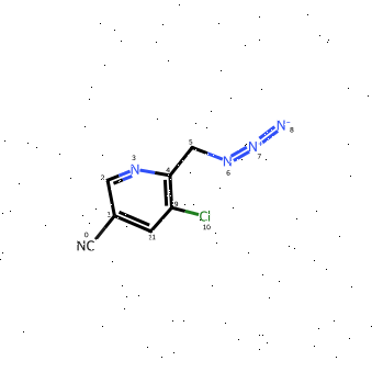 N#Cc1cnc(CN=[N+]=[N-])c(Cl)c1